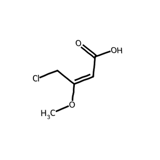 CO/C(=C/C(=O)O)CCl